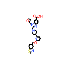 Cc1nc2cc(COc3cccc(C4CCN(Cc5nc6ccc(C(=O)O)cc6n5CC5CCO5)CC4)n3)ccc2s1